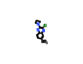 O=[N+]([O-])c1ccc2nc(N3C[CH]C3)c(Cl)nc2c1